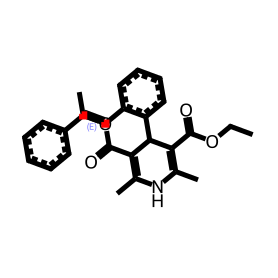 CCOC(=O)C1=C(C)NC(C)=C(C(=O)OCC)C1c1ccccc1/C=C/c1ccccc1